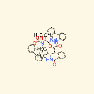 CCC(C)C1NC(=O)c2ccccc2C1=CC(=O)Nc1ccccc1-c1ccccc1NC(=O)C(C(C)C)N(CC1c2ccccc2-c2ccccc21)C(=O)O